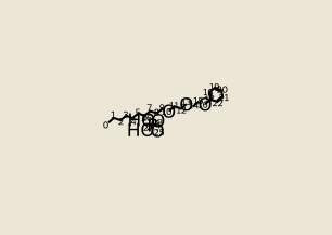 CCCCCCCCC(COCCOCCOc1ccccc1)OP(=O)(O)O